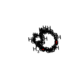 C[C@@H]1NC(=O)CCC(=O)NCc2ccc(cc2)CCNC(=O)C2CCCN2C(=O)CNC(=O)[C@H]([C@@H](C)O)NC(=O)C2[C@@H]3CCN2C(=O)CNC(=O)[C@H](Cc2cccc(c2)CNC(=O)CO3)NC(=O)[C@@H](CN)NC1=O